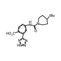 CC(C)(C)C1CCN(C(=O)Nc2ccc(C(=O)O)c(-c3nn[nH]n3)c2)CC1